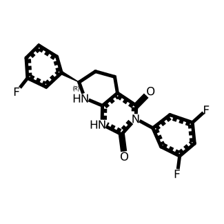 O=c1[nH]c2c(c(=O)n1-c1cc(F)cc(F)c1)CC[C@H](c1cccc(F)c1)N2